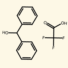 O=C(O)C(F)(F)F.OC(c1ccccc1)c1ccccc1